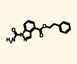 NC(=O)n1ncc2c(C(=O)OCCc3ccccc3)cccc21